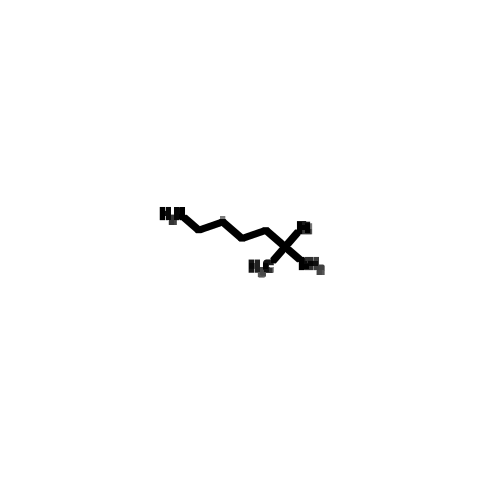 CCC(C)(N)CC[CH]CN